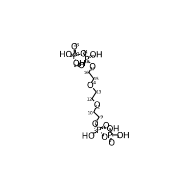 O=P(O)(O)OP(=O)(O)OCCOCCOCCOP(=O)(O)OP(=O)(O)O